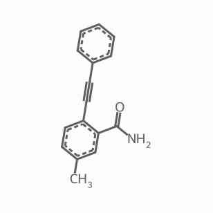 Cc1ccc(C#Cc2ccccc2)c(C(N)=O)c1